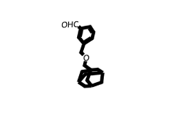 O=Cc1cccc(COCC23CC4CC(CC(C4)C2)C3)c1